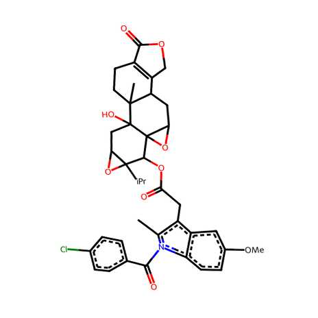 COc1ccc2c(c1)c(CC(=O)OC1C3(C(C)C)OC3CC3(O)C4(C)CCC5=C(COC5=O)C4CC4OC413)c(C)n2C(=O)c1ccc(Cl)cc1